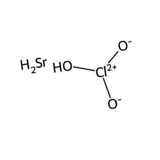 [O-][Cl+2]([O-])O.[SrH2]